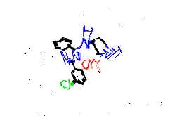 Oc1ccc(Cl)cc1-c1nc(NC2CCNC2)c2ccccc2n1